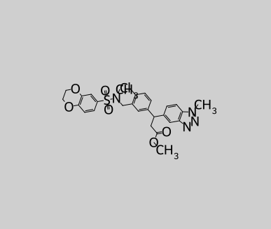 COC(=O)CC(c1ccc(Cl)c(CN(C)S(=O)(=O)c2ccc3c(c2)OCCO3)c1)c1ccc2c(c1)nnn2C